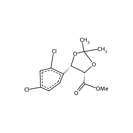 COC(=O)[C@H]1OC(C)(C)O[C@H]1c1ccc(Cl)cc1Cl